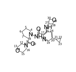 O=C(NN1CCCCC1C(=O)N1CCOCC1)c1ncc(C2CC2)cc1NC1COC1